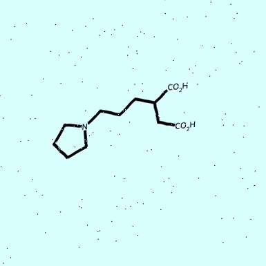 O=C(O)CC(CCCN1CCCC1)C(=O)O